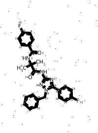 CC(C)(NC(=O)c1ccc(F)cc1)C(=O)Nc1nc(-c2ccc(F)cc2)n(Cc2ccccc2)n1